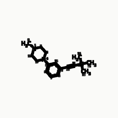 CN1CCN(c2cccc(C#C[Si](C)(C)C)c2)CC1